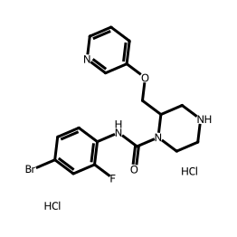 Cl.Cl.O=C(Nc1ccc(Br)cc1F)N1CCNCC1COc1cccnc1